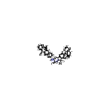 C=C(/C=C1\C(=C)c2ccc(N3C4=C(CCC=C4)CCC3(C)C)cc2C1(C)C)/C=C/c1ccc2c(c1)CCC(N(C)c1ccccc1CC)=C2